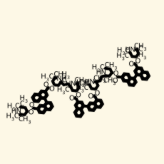 CC1(C)CC(OC(=O)c2cc(-c3cccc4cc(C(=O)OC5CC(C)(C)NC(C)(CCC6(C)CC(OC(=O)c7cccc8ccc(-c9cc(C(=O)OC%10CC(C)(C)NC(C)(CCC%11(C)CC(OC(=O)c%12cc(-c%13cccc%14ccc(C(=O)OC%15CC(C)(C)NC(C)(C)C%15)cc%13%14)c%13ccccc%13c%12)CC(C)(C)N%11)C%10)cc%10ccccc9%10)cc78)CC(C)(C)N6)C5)ccc34)c3ccccc3c2)CC(C)(C)N1